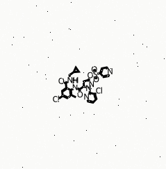 Cc1cc(Cl)cc(C(=O)NCC2CC2)c1NC(=O)C1CC(OS(=O)(=O)c2ccncc2)=NN1c1ncccc1Cl